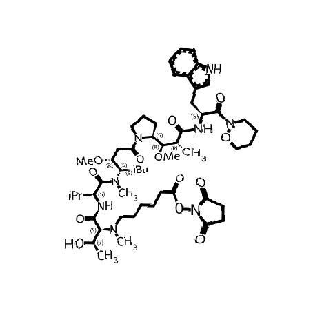 CC[C@H](C)[C@@H]([C@@H](CC(=O)N1CCC[C@H]1[C@H](OC)[C@@H](C)C(=O)N[C@@H](Cc1c[nH]c2ccccc12)C(=O)N1CCCCO1)OC)N(C)C(=O)[C@@H](NC(=O)[C@H]([C@@H](C)O)N(C)CCCCCC(=O)ON1C(=O)CCC1=O)C(C)C